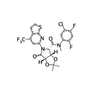 CN(C(=O)[C@@H]1[C@@H]2OC(C)(C)O[C@@H]2C(=O)N1c1cc(C(F)(F)F)c2ccsc2n1)c1cc(Cl)c(F)cc1F